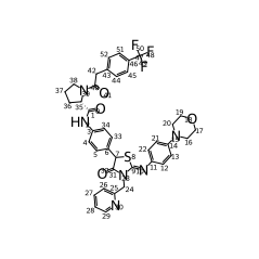 O=C(Nc1ccc(C2S/C(=N\c3ccc(N4CCOCC4)cc3)N(Cc3ccccn3)C2=O)cc1)[C@@H]1CCCN1C(=O)Cc1ccc(C(F)(F)F)cc1